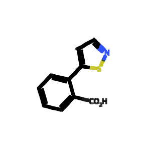 O=C(O)c1ccccc1-c1[c][c]ns1